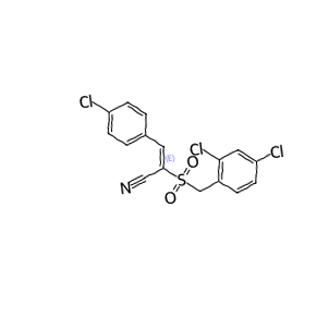 N#C/C(=C\c1ccc(Cl)cc1)S(=O)(=O)Cc1ccc(Cl)cc1Cl